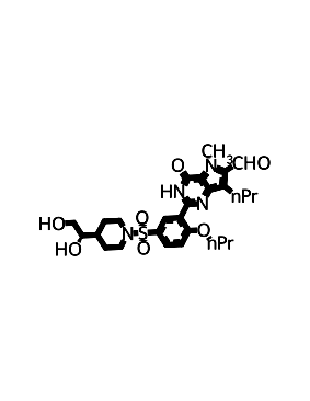 CCCOc1ccc(S(=O)(=O)N2CCC([C@@H](O)CO)CC2)cc1-c1nc2c(CCC)c(C=O)n(C)c2c(=O)[nH]1